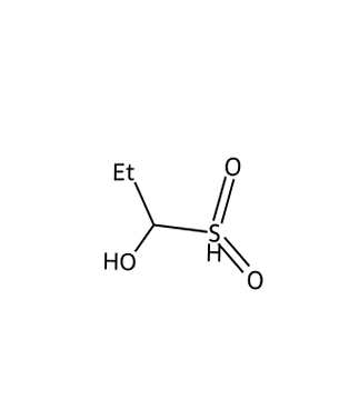 CCC(O)[SH](=O)=O